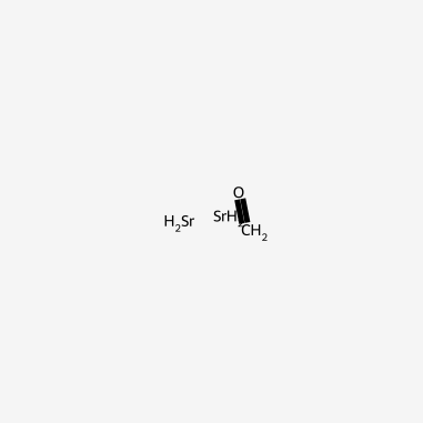 C=O.[SrH2].[SrH2]